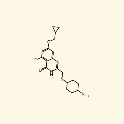 NC1CCC(SCc2nc3cc(OCC4CC4)cc(F)c3c(=O)[nH]2)CC1